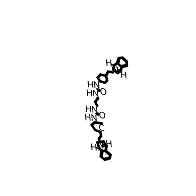 O=C(NCCCNC(=O)NC1CCC(CCN2[C@@H]3CC[C@H]2c2ccccc23)CC1)NC1CCC(CCN2[C@@H]3CC[C@H]2c2ccccc23)CC1